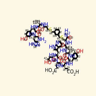 CCC[C@H](NC(=O)[C@H](Cc1ccc(O)cc1)NC(=O)[C@H](CCC(=O)O)NC(=O)[C@H](CCC(=O)O)NC(=O)[C@H](Cc1c[nH]c2ncccc12)NC(=O)C[C@@H](C)O)C(=O)N[C@@H](CC)C(=O)N[C@@H](CSCc1cccc(CSCCC(=O)N[C@H](C(=O)N[C@@H](Cc2ccc(O)cc2)C(=O)N[C@@H](Cc2cnc[nH]2)C(N)=O)C(C)(C)C)c1)C(N)=O